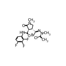 C=C(Cl)N(C)/N=C(\Br)[C@H]1CN(C)C(=O)[C@@H]1C(=O)Nc1ccc(F)c(F)c1F